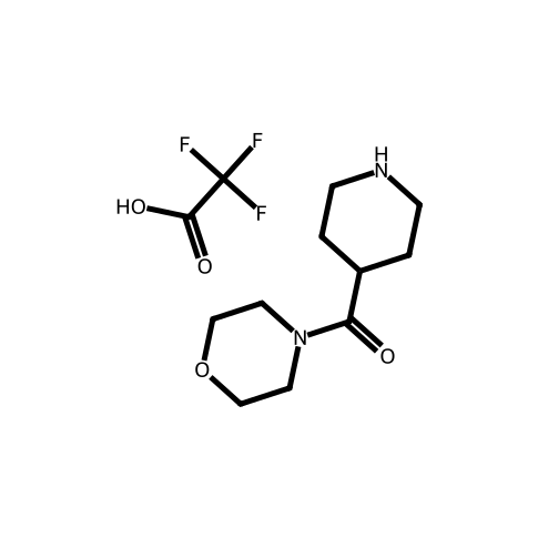 O=C(C1CCNCC1)N1CCOCC1.O=C(O)C(F)(F)F